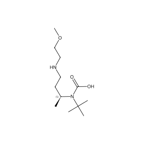 COCCNCC[C@H](C)N(C(=O)O)C(C)(C)C